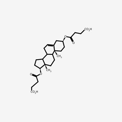 C[C@]12CC[C@H](OC(=O)CCC(=O)O)CC1=CCC1C2CC[C@@]2(C)C1CC[C@@H]2OC(=O)CCC(=O)O